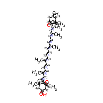 CC(/C=C/C=C(C)/C=C/[C@@]12O[C@]1(C)C[C@@H](C)CC2(C)C)=C\C=C\C=C(C)\C=C\C=C(C)\C=C\[C@@]12O[C@]1(C)C[C@@H](O)CC2(C)C